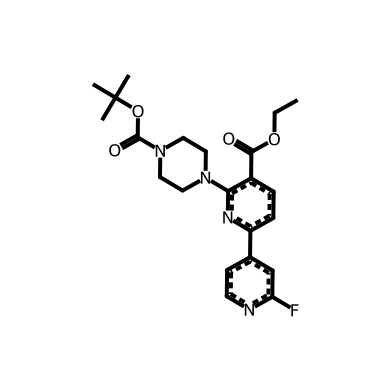 CCOC(=O)c1ccc(-c2ccnc(F)c2)nc1N1CCN(C(=O)OC(C)(C)C)CC1